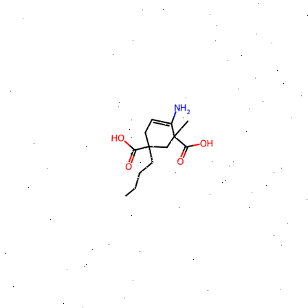 CCCCC1(C(=O)O)CC=C(N)C(C)(C(=O)O)C1